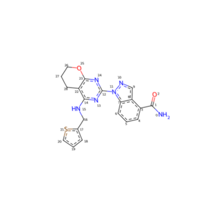 NC(=O)c1cccc2c1cnn2-c1nc(NCc2cccs2)c2c(n1)OCCC2